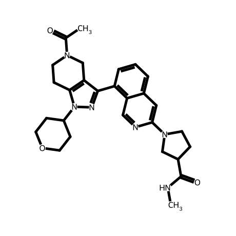 CNC(=O)C1CCN(c2cc3cccc(-c4nn(C5CCOCC5)c5c4CN(C(C)=O)CC5)c3cn2)C1